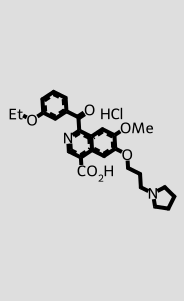 CCOc1cccc(C(=O)c2ncc(C(=O)O)c3cc(OCCCN4CCCC4)c(OC)cc23)c1.Cl